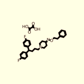 Fc1ccc(C(CCCN2CCC(=NOCCc3ccccc3)CC2)c2ccc(F)cc2)cc1.O=C(O)C(=O)O